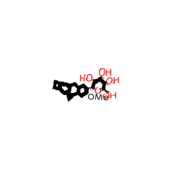 COc1cc(C2CC2)c(Cc2ccc3c(c2)CC3)cc1[C@@H]1O[C@H](CO)[C@@H](O)[C@H](O)[C@H]1O